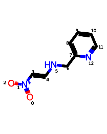 O=[N+]([O-])C=CNCc1ccccn1